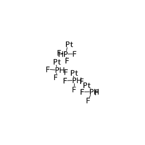 F[PH](F)(F)[Pt].F[PH](F)(F)[Pt].F[PH](F)(F)[Pt].F[PH](F)(F)[Pt]